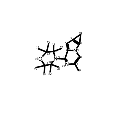 Cc1cn2c3c(cc2c(N2C(C)(C)C(C)(C)OC(C)(C)C2(C)C)n1)C3